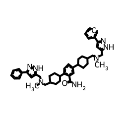 CN(Cc1cc(-c2ccccc2)n[nH]1)CC1CCC(c2ccc(C3CCC(CN(C)Cc4cc(-c5ccccc5)n[nH]4)CC3)c(C(N)=O)c2)CC1